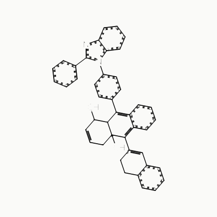 CC1C=CCC2(C)C(C3=Cc4ccccc4CC3)=c3ccccc3=C(c3ccc(-n4c(-c5ccccc5)nc5ccccc54)cc3)C12